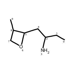 CCC(N)CC1OCC1C